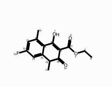 CCOC(=O)C1=C(O)c2c(C)cc(F)cc2C(C)C1=O